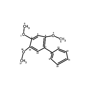 COc1cc(OC)c(-c2ccccc2)cc1OC